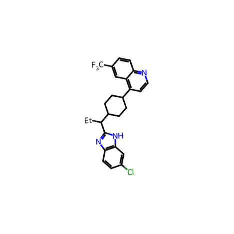 CCC(c1nc2ccc(Cl)cc2[nH]1)C1CCC(c2ccnc3ccc(C(F)(F)F)cc23)CC1